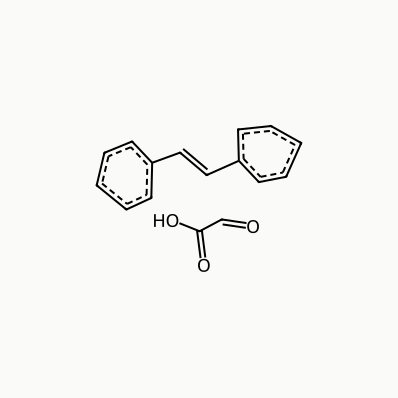 C(=Cc1ccccc1)c1ccccc1.O=CC(=O)O